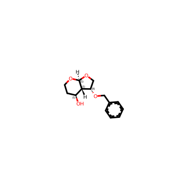 O[C@H]1CCO[C@H]2OC[C@H](OCc3ccccc3)[C@@H]21